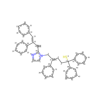 SC(CC[SiH](Cn1ccnc1BC(=Cc1ccccc1)c1ccccc1)c1ccccc1)(c1ccccc1)c1ccccc1